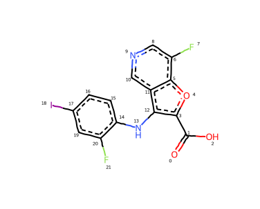 O=C(O)c1oc2c(F)cncc2c1Nc1ccc(I)cc1F